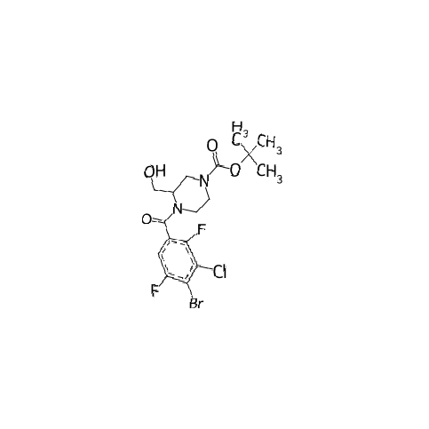 CC(C)(C)OC(=O)N1CCN(C(=O)c2cc(F)c(Br)c(Cl)c2F)C(CO)C1